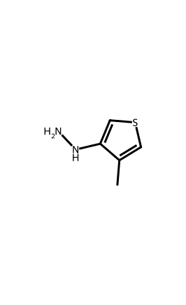 Cc1cscc1NN